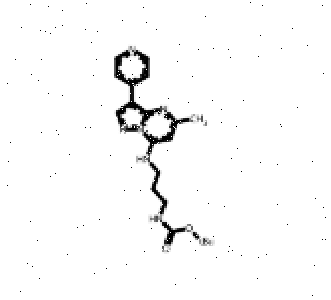 Cc1cc(NCCCNC(=O)OC(C)(C)C)n2ncc(-c3ccncc3)c2n1